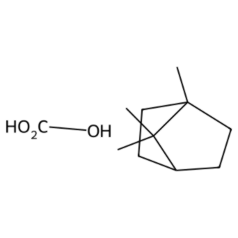 CC12CCC(CC1)C2(C)C.O=C(O)O